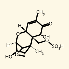 CC1=C[C@H]2O[C@@H]3[C@H](O)C[C@](C)([C@@]2(COS(=O)(=O)O)[C@H](O)C1=O)[C@]31CO1